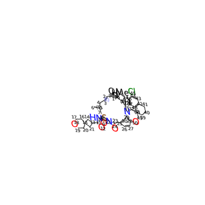 CO[C@H]1/C=C/C[C@H](C)C[S@@](=O)(NC(=O)C2CC3(CCOCC3)C2)=NC(=O)c2ccc3c(c2)N(C[C@@H]2CC[C@H]21)C[C@@]1(CCCc2cc(Cl)ccc21)CO3